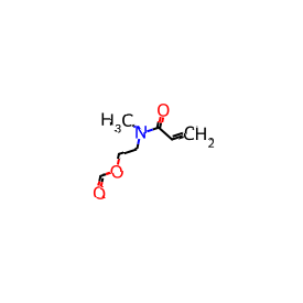 C=CC(=O)N(C)CCOC=O